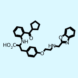 O=C(c1ccccc1NC(Cc1ccc(OCCNCc2nc3ccccc3o2)cc1)C(=O)O)C1CCCC1